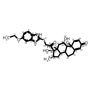 CCOc1ccc2[nH]c(SCC(=O)[C@@]3(O)[C@H](C)CC4C5CCC6=CC(=O)C=CC6(C)C5[C@@H](O)CC43C)nc2c1